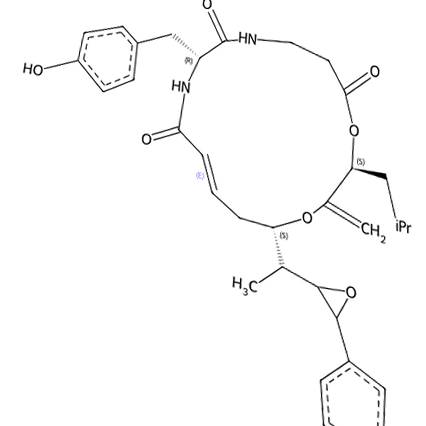 C=C1O[C@H](C(C)C2OC2c2ccccc2)C/C=C/C(=O)N[C@H](Cc2ccc(O)cc2)C(=O)NCCC(=O)O[C@H]1CC(C)C